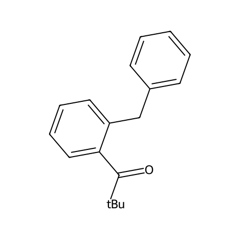 CC(C)(C)C(=O)c1ccccc1Cc1ccccc1